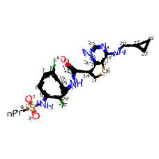 CCCS(=O)(=O)Nc1ccc(F)c(NC(=O)C2CSc3c(NCC4CC4)ncnc32)c1F